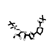 COC(=O)[C@H](CO[Si](C)(C)C(C)(C)C)NC(=O)c1csc(C2CCCN(C(=O)OC(C)(C)C)C2)n1